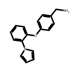 NCc1ccc(Oc2ccccc2-n2cccc2)cc1